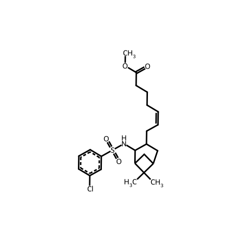 COC(=O)CCC/C=C\CC1CC2CC(C1NS(=O)(=O)c1cccc(Cl)c1)C2(C)C